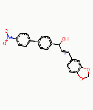 O=[N+]([O-])c1ccc(-c2ccc(C(O)/C=C/c3ccc4c(c3)OCO4)cc2)cc1